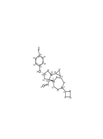 O=C[C@]1(N2CCCN(C3CCC3)CC2)C[C@H](Oc2ccc(F)cc2)CN1C1CC1